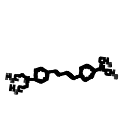 CCN(CC)c1ccc(/C=C/C=C/c2ccc(N(C)C)cc2)cc1